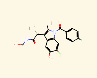 Cc1c([C@H](C)C(=O)NCO)c2cc(O)c(F)cc2n1C(=O)c1ccc(Cl)cc1